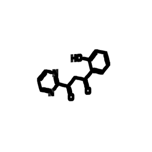 O=C(CC(=O)c1ccccc1O)c1ncccn1